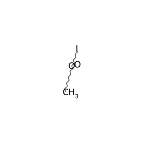 CCCCCCCCCOC(=O)CCCCI